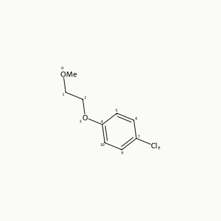 COCCOc1[c]cc(Cl)cc1